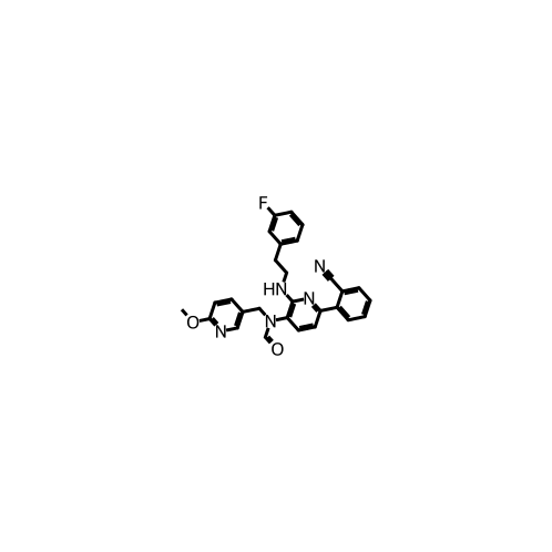 COc1ccc(CN(C=O)c2ccc(-c3ccccc3C#N)nc2NCCc2cccc(F)c2)cn1